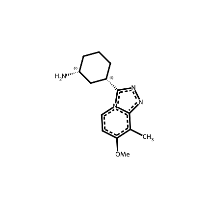 COc1ccn2c([C@H]3CCC[C@@H](N)C3)nnc2c1C